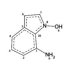 Nc1cccc2ccn(O)c12